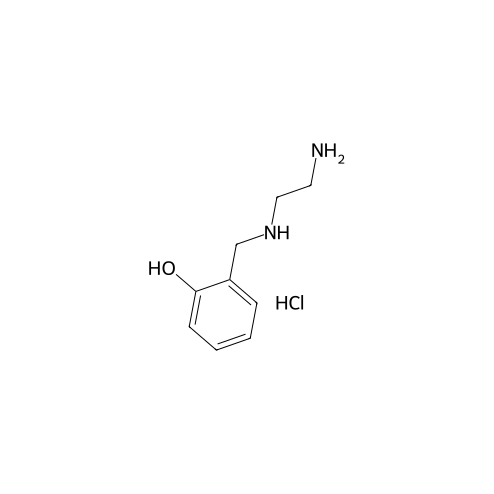 Cl.NCCNCc1ccccc1O